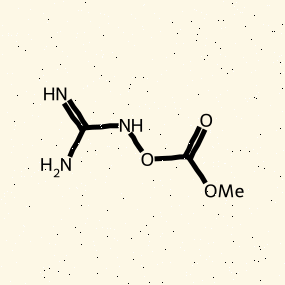 COC(=O)ONC(=N)N